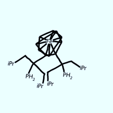 CC(C)CC(P)(CC(C)C)[C]12[CH]3[CH]4[CH]5[C]1(C(P)(CC(C)C)CC(C)C)[Fe]43521678[CH]2[CH]1[CH]6[CH]7[CH]28